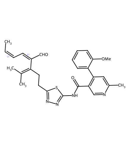 C/C=C\C=C(\C=O)C(CCc1nnc(NC(=O)c2cnc(C)cc2-c2ccccc2OC)s1)=C(C)C